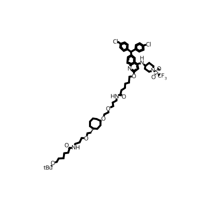 CC(C)(C)OCCCCCC(=O)NCCCOCC[C@H]1CCCCC(OCCOCCCNC(=O)CCCCCOc2cc(NC3CCN(S(=O)(=O)C(F)(F)F)CC3)c3cc(C(c4ccc(Cl)cc4)c4ccc(Cl)cc4)ccc3n2)CC1